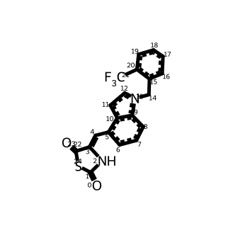 O=C1NC(=Cc2cccc3c2ccn3Cc2ccccc2C(F)(F)F)C(=O)S1